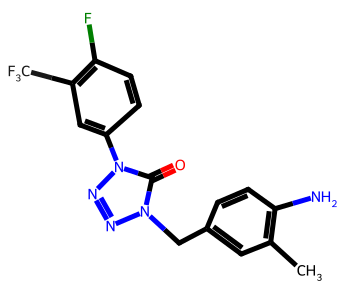 Cc1cc(Cn2nnn(-c3ccc(F)c(C(F)(F)F)c3)c2=O)ccc1N